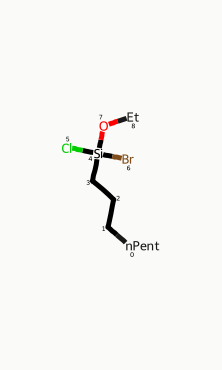 CCCCCCCC[Si](Cl)(Br)OCC